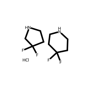 Cl.FC1(F)CCNC1.FC1(F)CCNCC1